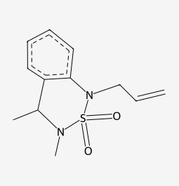 C=CCN1c2ccccc2C(C)N(C)S1(=O)=O